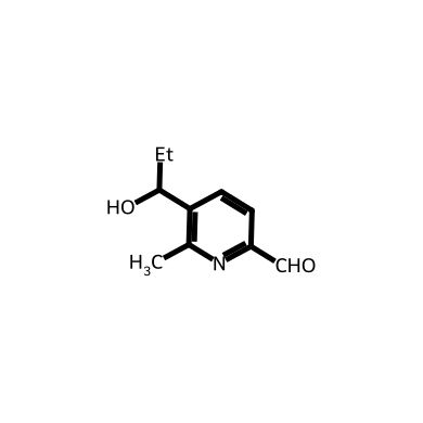 CCC(O)c1ccc(C=O)nc1C